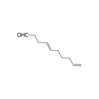 C=CCCC/C=C/CCC=O